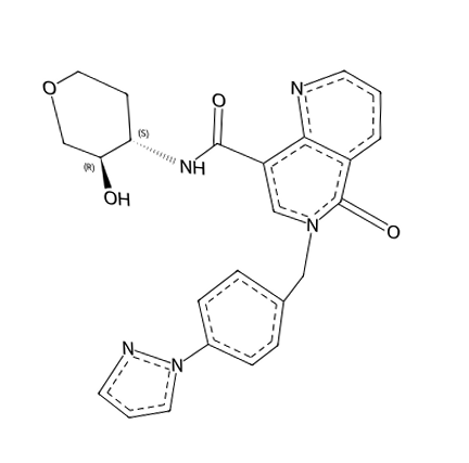 O=C(N[C@H]1CCOC[C@@H]1O)c1cn(Cc2ccc(-n3cccn3)cc2)c(=O)c2cccnc12